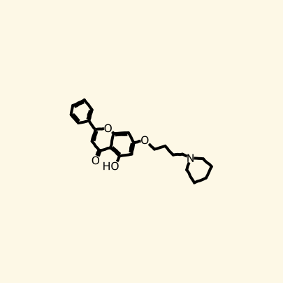 O=c1cc(-c2ccccc2)oc2cc(OCCCCN3CCCCC3)cc(O)c12